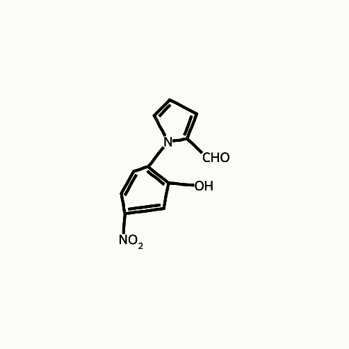 O=Cc1cccn1-c1ccc([N+](=O)[O-])cc1O